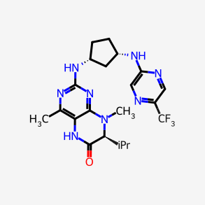 Cc1nc(N[C@@H]2CC[C@H](Nc3cnc(C(F)(F)F)cn3)C2)nc2c1NC(=O)[C@H](C(C)C)N2C